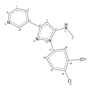 CBc1cc(-c2cccnc2)nn1-c1ccc(Cl)c(Cl)c1